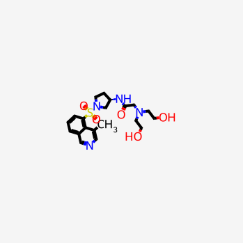 Cc1cncc2cccc(S(=O)(=O)N3CC[C@@H](NC(=O)CN(CCO)CCO)C3)c12